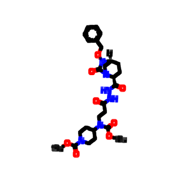 CC(C)(C)OC(=O)N1CCC(N(CCC(=O)NNC(=O)[C@@H]2CC[C@H]3CN2C(=O)N3OCc2ccccc2)C(=O)OC(C)(C)C)CC1